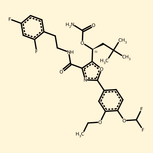 CCOc1cc(-c2nc(C(=O)NCCc3ccc(F)cc3F)c([C@H](CC(C)(C)C)OC(N)=O)o2)ccc1OC(F)F